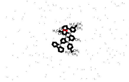 Cc1cc2c3c(c1)N(c1ccc(C(C)(C)C)cc1-c1ccccc1)c1ccc(C(C)(C)C)cc1B3c1ccc(-n3c4ccccc4c4ccccc43)cc1N2c1ccc(C(C)(C)C)cc1